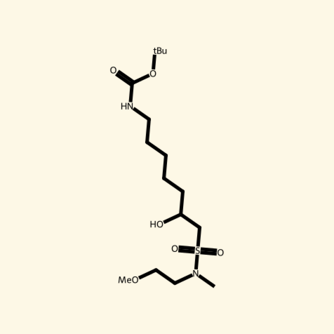 COCCN(C)S(=O)(=O)CC(O)CCCCCNC(=O)OC(C)(C)C